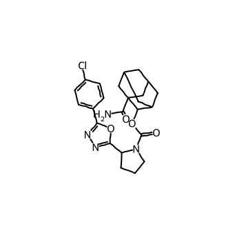 NC(=O)C12CC3CC(CC(C3)C1OC(=O)N1CCCC1c1nnc(-c3ccc(Cl)cc3)o1)C2